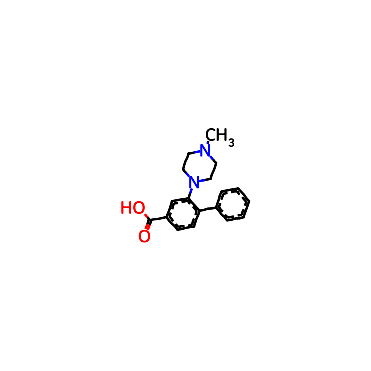 CN1CCN(c2cc(C(=O)O)ccc2-c2ccccc2)CC1